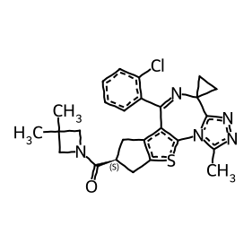 Cc1nnc2n1-c1sc3c(c1C(c1ccccc1Cl)=NC21CC1)C[C@H](C(=O)N1CC(C)(C)C1)C3